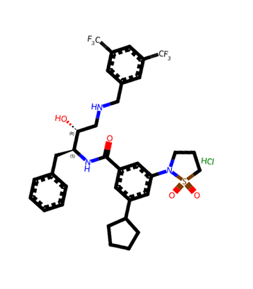 Cl.O=C(N[C@@H](Cc1ccccc1)[C@H](O)CNCc1cc(C(F)(F)F)cc(C(F)(F)F)c1)c1cc(C2CCCC2)cc(N2CCCS2(=O)=O)c1